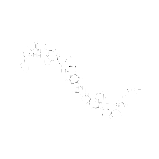 CC(C)C(NC(=O)C1CCCN1C(=O)[C@H](C)NC(=O)[C@H](C)NC(=O)CCC(=O)O)C(=O)Nc1ccc(NC(=O)[C@@H](NC(=O)C2CCCN2C(=O)[C@H](C)NC(=O)[C@H](C)NC(=O)CCC(=O)O)C(C)C)cc1